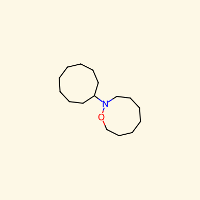 C1CCCCC(N2CCCCCCCO2)CCC1